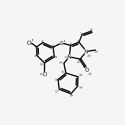 C=Cc1c(Sc2cc(Cl)cc(Cl)c2)n(Cc2ccccc2)c(=O)n1C